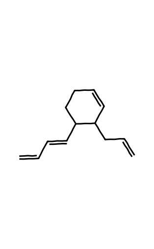 C=C/C=C/C1CCC=CC1CC=C